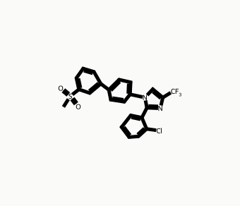 CS(=O)(=O)c1cccc(-c2ccc(-n3cc(C(F)(F)F)nc3-c3ccccc3Cl)cc2)c1